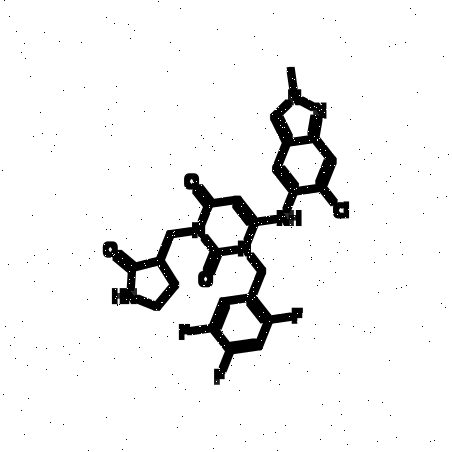 Cn1cc2cc(Nc3cc(=O)n(CC4CCNC4=O)c(=O)n3Cc3cc(F)c(F)cc3F)c(Cl)cc2n1